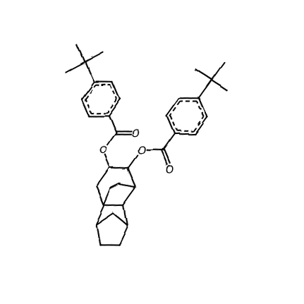 CC(C)(C)c1ccc(C(=O)OC2CC34CCC(C2OC(=O)c2ccc(C(C)(C)C)cc2)C3C2CCC4C2)cc1